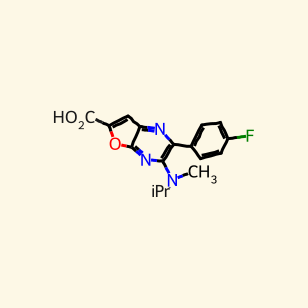 CC(C)N(C)c1nc2oc(C(=O)O)cc2nc1-c1ccc(F)cc1